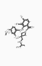 CC(=O)O.CC(C)C(C)NCC1(O)CN(C(=O)c2ccc(F)c(F)c2Nc2ccc(I)cc2F)C1